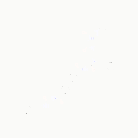 CN[C@@H](C)C(=O)N[C@H](C(=O)N1C[C@H](F)C[C@H]1CN(CCc1ccccc1)C(=O)CNC(=O)c1ccc(-c2ccc(C(=O)NCC(=O)NCCc3ccccc3)cc2)cc1)C1CCCCC1